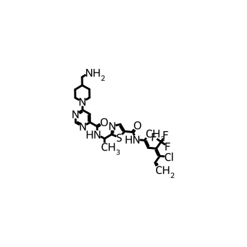 C=C/C(Cl)=C(\C=C(/C)NC(=O)c1cnc(C(C)NC(=O)c2cc(N3CCC(CN)CC3)ncn2)s1)C(F)(F)F